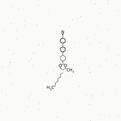 CCCCCCCC[C@@H]1CO[C@@H](C2CCC(c3ccc(-c4ccc(C#N)cc4)cc3)CC2)OC1C